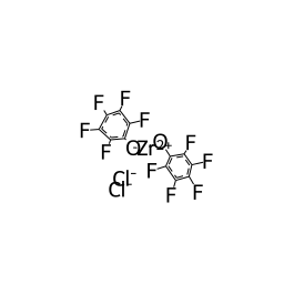 Fc1c(F)c(F)c([O][Zr+2][O]c2c(F)c(F)c(F)c(F)c2F)c(F)c1F.[Cl-].[Cl-]